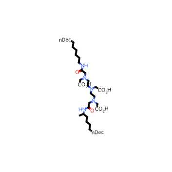 CCCCCCCCCCCCCCCCNC(=O)CN(CCN(CCN(CC(=O)O)CC(=O)NC(C)CCCCCCCCCCCCCC)CC(=O)O)CC(=O)O